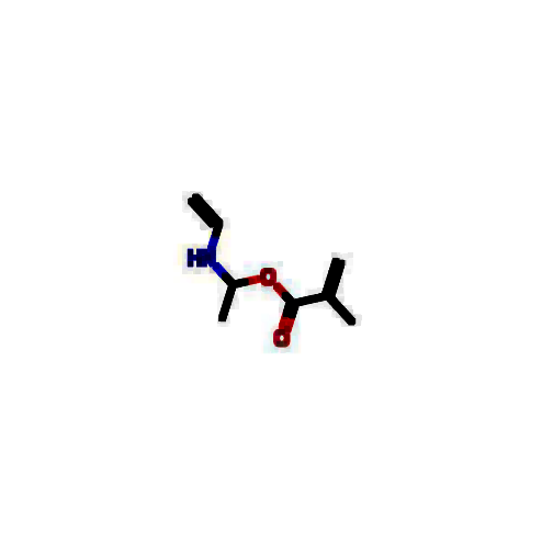 C=CNC(C)OC(=O)C(=C)C